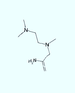 C=C(N)CN(C)CCN(C)C